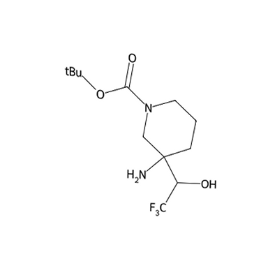 CC(C)(C)OC(=O)N1CCCC(N)(C(O)C(F)(F)F)C1